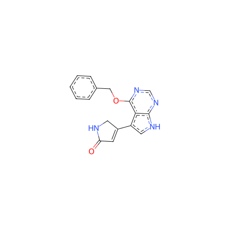 O=C1C=C(c2c[nH]c3ncnc(OCc4ccccc4)c23)CN1